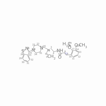 C=C[C@@H](CCNC(=O)/C=C/c1cccc(OC)c1OC)CN1CCN(c2nsc3ccccc23)CC1